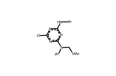 CSCN(c1nc(Cl)nc(NC(C)C)n1)C(C)C